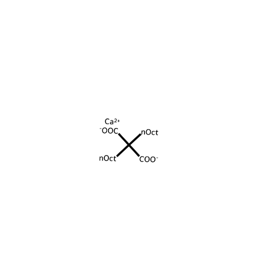 CCCCCCCCC(CCCCCCCC)(C(=O)[O-])C(=O)[O-].[Ca+2]